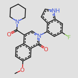 COc1ccc2c(C(=O)N3CCCCC3)cn(-c3cc(F)cc4[nH]ccc34)c(=O)c2c1